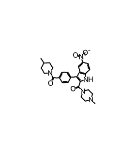 CC1CCN(C(=O)c2ccc(-c3c(C(=O)N4CCN(C)CC4)[nH]c4ccc([N+](=O)[O-])cc34)cc2)CC1